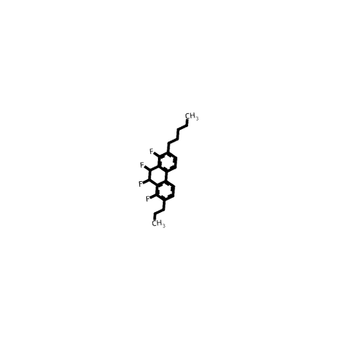 CCCCCc1ccc2c(c1F)C(F)C(F)c1c-2ccc(CCC)c1F